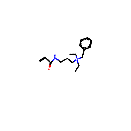 C=CC(=O)NCCC[N+](CC)(CC)Cc1ccccc1